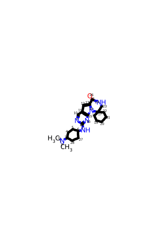 CN(C)C1CCC(Nc2ncc3cc4n(c3n2)C2(CCCCC2)CNC4=O)CC1